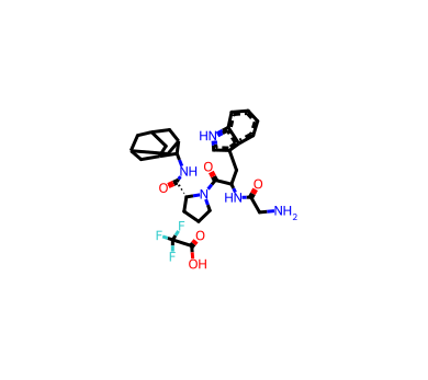 NCC(=O)NC(Cc1c[nH]c2ccccc12)C(=O)N1CCC[C@@H]1C(=O)NC1C2CC3CC(C2)CC1C3.O=C(O)C(F)(F)F